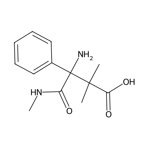 CNC(=O)C(N)(c1ccccc1)C(C)(C)C(=O)O